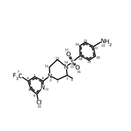 CC1CN(c2cc(C(F)(F)F)cc(Cl)n2)CCN1S(=O)(=O)c1ccc(N)cc1